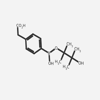 CC(C)(O)C(C)(C)OB(O)c1ccc(CC(=O)O)cc1